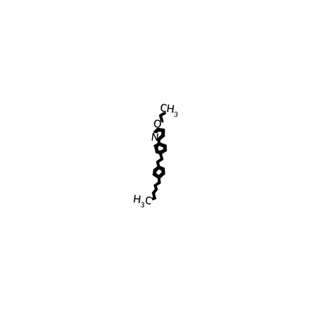 CCCCCCc1ccc(CCc2ccc(-c3ccc(OCCCC)cn3)cc2)cc1